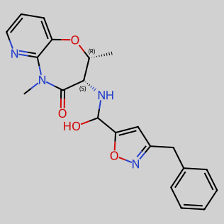 C[C@H]1Oc2cccnc2N(C)C(=O)[C@H]1NC(O)c1cc(Cc2ccccc2)no1